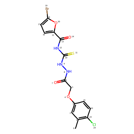 Cc1cc(OCC(=O)NNC(=S)NC(=O)c2ccc(Br)o2)ccc1Cl